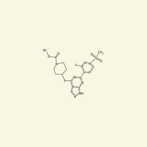 CC(C)OC(=O)N1CCC(Sc2nc(-c3ccc(S(C)(=O)=O)cc3F)nc3[nH]ncc23)CC1